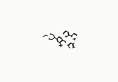 CCCN1CCC(c2ccc(C(=O)Nc3cnc(C)c(Nc4nccc(-c5cccnc5)n4)c3)c(C(F)(F)F)c2)CC1